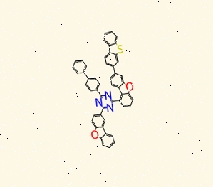 c1ccc(-c2ccc(-c3nc(-c4ccc5oc6ccccc6c5c4)nc(-c4cccc5oc6cc(-c7ccc8c(c7)sc7ccccc78)ccc6c45)n3)cc2)cc1